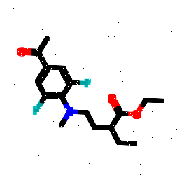 CCOC(=O)C(CC)CCN(C)c1c(F)cc(C(C)=O)cc1F